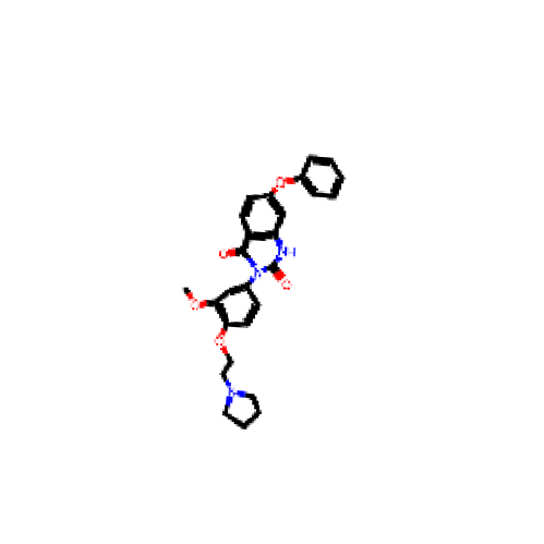 COc1cc(-n2c(=O)[nH]c3cc(Oc4ccccc4)ccc3c2=O)ccc1OCCN1CCCC1